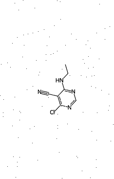 CCNc1ncnc(Cl)c1C#N